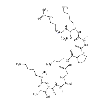 C[C@H](NC(=O)[C@@H](NC(=O)[C@@H](N)CCCCN)[C@@H](O)CN)C(=O)NCC(=O)N[C@H](CCCN)C(=O)N1CCC[C@H]1C(=O)N[C@@H](C)C(=O)N[C@@H](CCCCN)C(=O)N/C(=C\CCNC(=N)N)C(=O)O